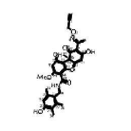 C#CCON=C(C)C1=C(O)C=C2Oc3c(C(=O)NCc4c(C)cc(O)c(C)c4C)c(OC)cc(O)c3[C@]2(C)C1=O